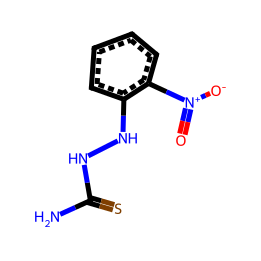 NC(=S)NNc1ccccc1[N+](=O)[O-]